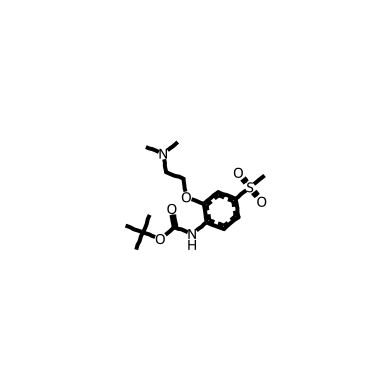 CN(C)CCOc1cc(S(C)(=O)=O)ccc1NC(=O)OC(C)(C)C